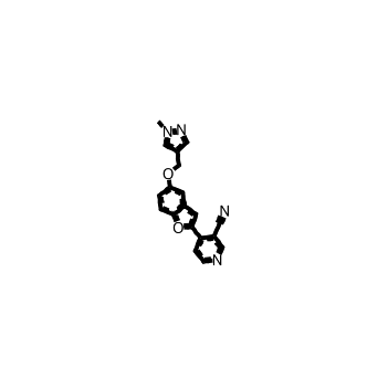 Cn1cc(COc2ccc3oc(-c4ccncc4C#N)cc3c2)cn1